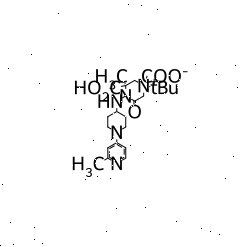 Cc1cc(N2CCC(NN3C(=O)C[N+](C(=O)[O-])(C(C)(C)C)CC3(C)C(=O)O)CC2)ccn1